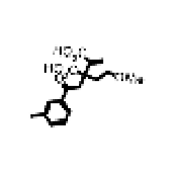 C=C(C(=O)O)C(CCOC)(CC(=O)c1cccc(C)c1)C(=O)O